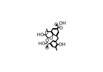 CCc1cc(S(=O)(=O)O)cc(Cc2cc(S(=O)(=O)O)cc(C)c2O)c1OCC(=O)O